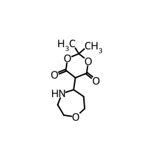 CC1(C)OC(=O)C(C2CCOCCN2)C(=O)O1